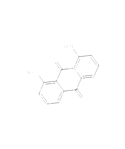 Nc1cccc2c1C(=O)c1c(cccc1S(=O)(=O)O)C2=O